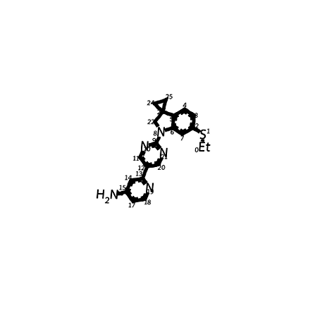 CCSc1ccc2c(c1)N(c1ncc(-c3cc(N)ccn3)cn1)CC21CC1